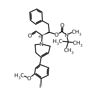 COc1cc(C2=CCN([C@@H](C=O)C(Cc3ccccc3)OC(=O)N(C)C(C)(C)C)CC2)ccc1F